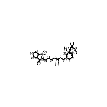 O=C1COc2ccc(CCNCCCCN3C(=O)C4CCCC4C3=O)cc2N1